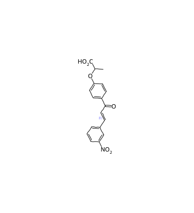 CC(Oc1ccc(C(=O)/C=C/c2cccc([N+](=O)[O-])c2)cc1)C(=O)O